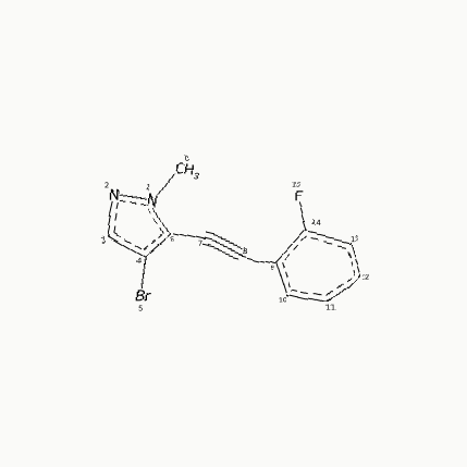 Cn1ncc(Br)c1C#Cc1ccccc1F